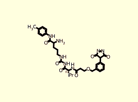 Cc1ccc(NC(=O)C(N)CCCNC(=O)NC(=O)[C@@H](NC(=O)CCOCc2cccc(C3C(=O)N=NC3=O)c2)C(C)C)cc1